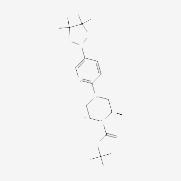 C[C@@H]1CN(c2ccc(B3OC(C)(C)C(C)(C)O3)cn2)C[C@@H](C)N1C(=O)OC(C)(C)C